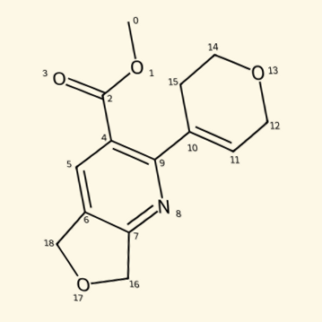 COC(=O)c1cc2c(nc1C1=CCOCC1)COC2